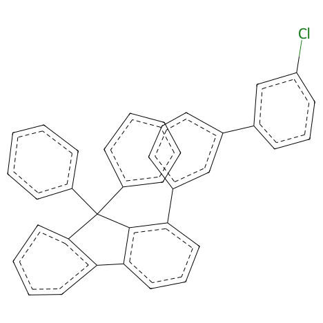 Clc1cccc(-c2cccc(-c3cccc4c3C(c3ccccc3)(c3ccccc3)c3ccccc3-4)c2)c1